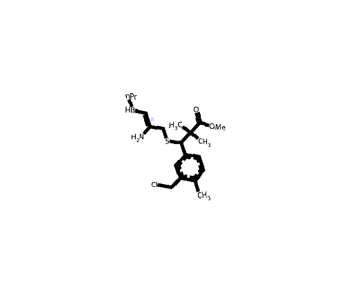 CCCB/C=C(\N)CSC(c1ccc(C)c(CCl)c1)C(C)(C)C(=O)OC